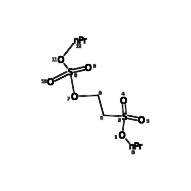 CCCOS(=O)(=O)CCOS(=O)(=O)OCCC